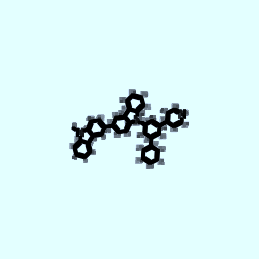 Cn1c2ccccc2c2cc(-c3ccc4c(c3)c3ccccc3n4-c3cc(-c4ccccc4)cc(-c4ccncc4)c3)ccc21